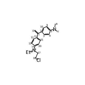 C=C(c1ccc(N(C)C)cc1)c1ccc(N(CC)CCCl)cc1